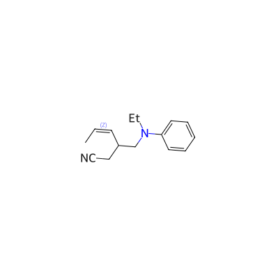 C/C=C\C(CC#N)CN(CC)c1ccccc1